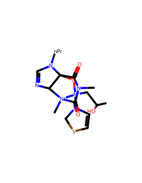 CCCN1C=NC2C13O[N+](CC(C)O)(N1C=CSC1)[N+]2(C)C(=O)N(C)C3=O